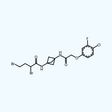 O=C(COc1ccc(Cl)c(F)c1)NC12CC(NC(=O)C(Br)CCBr)(C1)C2